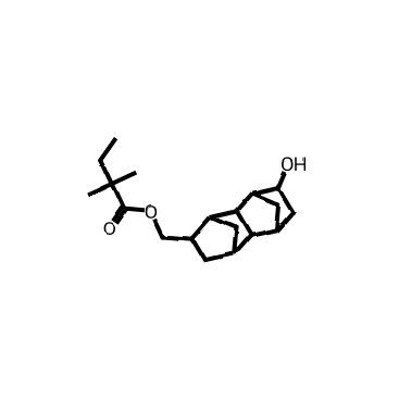 CCC(C)(C)C(=O)OCC1CC2CC1C1C3CC(CC3O)C21